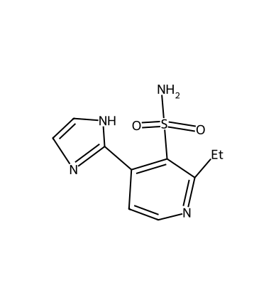 CCc1nccc(-c2ncc[nH]2)c1S(N)(=O)=O